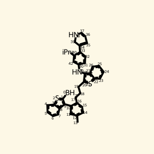 Bc1sc2ccccc2c1-c1cc(C)ccc1CCCc1sc2ccccc2c1Nc1ccc(C2=CC=CNC2)c(C(C)C)c1